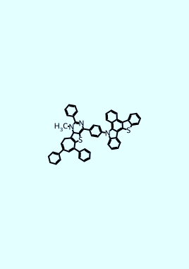 CN1C(c2ccccc2)=NC(c2ccc(-n3c4ccccc4c4c5sc6ccccc6c5c5ccccc5c43)cc2)=C2SC3=C(CC=C(C4=CCCC=C4)C=C3c3ccccc3)C21